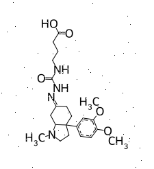 COc1ccc(C23CCC(=NNC(=O)NCCCC(=O)O)CC2N(C)CC3)cc1OC